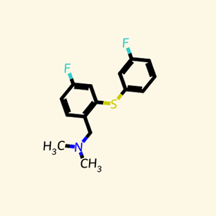 CN(C)Cc1ccc(F)cc1Sc1cccc(F)c1